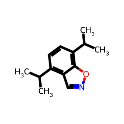 CC(C)c1ccc(C(C)C)c2oncc12